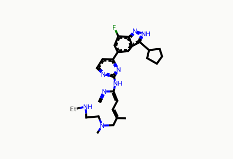 C=N/C(=C\C=C(/C)CN(C)CCNCC)Nc1nccc(-c2cc(F)c3n[nH]c(C4CCCC4)c3c2)n1